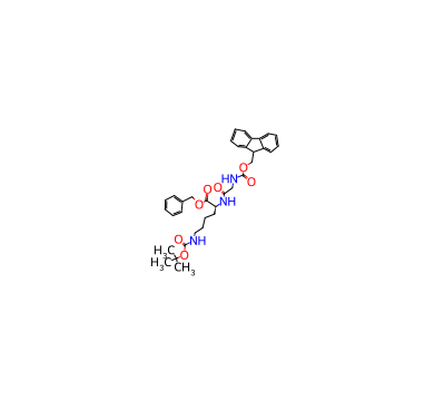 CC(C)(C)OC(=O)NCCCC[C@H](NC(=O)CNC(=O)OCC1c2ccccc2-c2ccccc21)C(=O)OCc1ccccc1